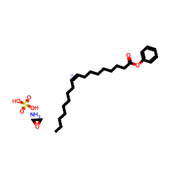 C1CO1.CCCCCCCC/C=C\CCCCCCCC(=O)Oc1ccccc1.N.O=S(=O)(O)O